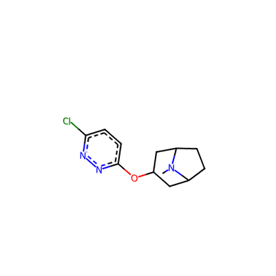 CN1C2CCC1CC(Oc1ccc(Cl)nn1)C2